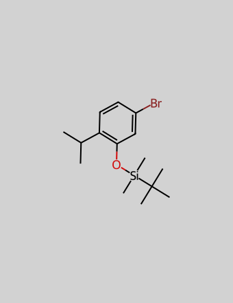 CC(C)c1ccc(Br)cc1O[Si](C)(C)C(C)(C)C